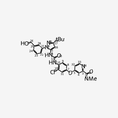 CNC(=O)c1cc(Oc2ccc(NC(=O)Nc3cc(C(C)(C)C)nn3-c3cccc(CO)c3)c(Cl)c2)ccn1